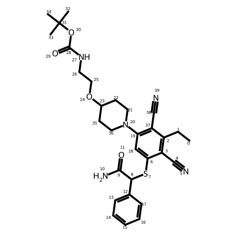 CCc1c(C#N)c(SC(C(N)=O)c2ccccc2)cc(N2CCC(OCCNC(=O)OC(C)(C)C)CC2)c1C#N